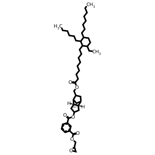 CCCCCCCCC1CCC(CC)C(CCCCCCCCC(=O)OCC2CC3CC2[C@H]2CC(OC(=O)c4cccc(C(=O)OCC5CO5)c4)C[C@@H]32)C1CCCCCC